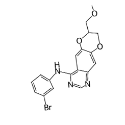 COCC1COc2cc3ncnc(Nc4cccc(Br)c4)c3cc2O1